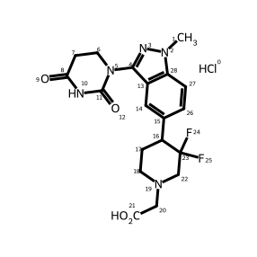 Cl.Cn1nc(N2CCC(=O)NC2=O)c2cc(C3CCN(CC(=O)O)CC3(F)F)ccc21